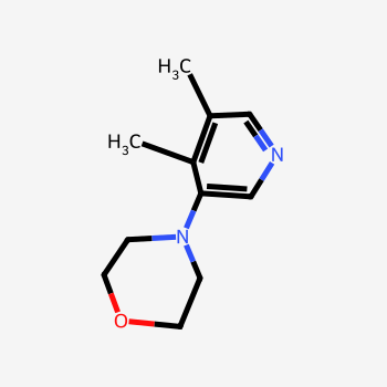 Cc1cncc(N2CCOCC2)c1C